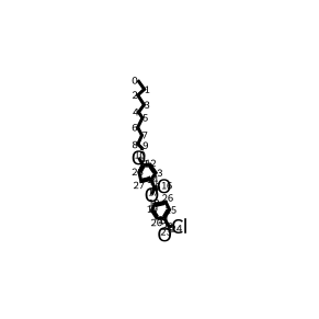 CCCCCCCCCCOc1ccc(C(=O)Oc2ccc(C(=O)Cl)cc2)cc1